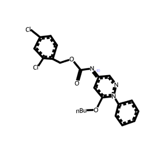 CCCCOc1c/c(=N\C(=O)OCc2ccc(Cl)cc2Cl)cnn1-c1ccccc1